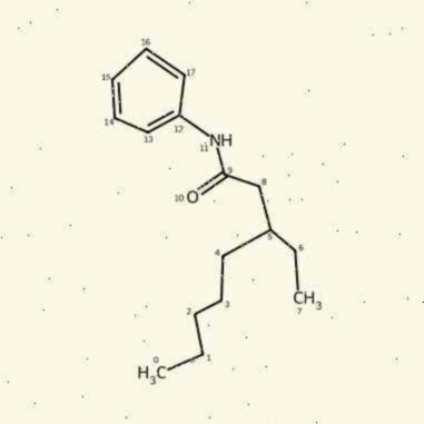 CCCCCC(CC)CC(=O)Nc1ccccc1